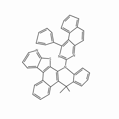 CC1(C)c2ccccc2N(c2nc(-c3ccccc3)c3c(ccc4ccccc43)n2)c2c1c1ccccc1c1c2sc2ncccc21